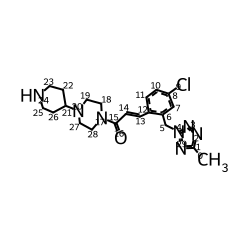 Cc1nnn(Cc2cc(Cl)ccc2C=CC(=O)N2CCN(C3CCNCC3)CC2)n1